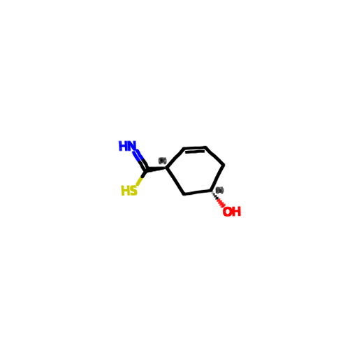 N=C(S)[C@H]1C=CC[C@H](O)C1